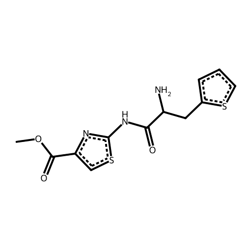 COC(=O)c1csc(NC(=O)C(N)Cc2cccs2)n1